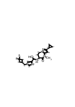 CN1C(=O)C(NC(O)c2ncn(CC3CC(F)(F)C3)n2)CCn2nc(C3CC3)cc21